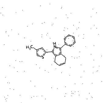 Cc1csc(-c2[nH]c(-c3ccccc3)c3c2CC=CC3)c1